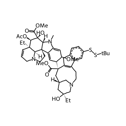 CC[C@]1(O)C[C@H]2CN(CCC3=C(Cc4ccc(SSC(C)(C)C)cc43)[C@@](C(=O)OC)(C3C=C4C(=CC3OC)N(C)[C@H]3[C@@](O)(C(=O)OC)[C@H](OC(C)=O)[C@]5(CC)C=CCN6CC[C@]43[C@@H]65)C2)C1